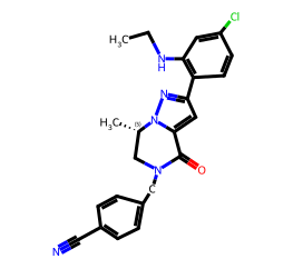 CCNc1cc(Cl)ccc1-c1cc2n(n1)[C@@H](C)CN(Cc1ccc(C#N)cc1)C2=O